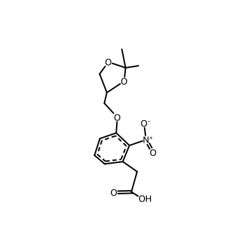 CC1(C)OCC(COc2cccc(CC(=O)O)c2[N+](=O)[O-])O1